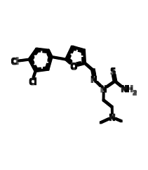 CN(C)CCN(N=Cc1ccc(-c2ccc(Cl)c(Cl)c2)o1)C(N)=S